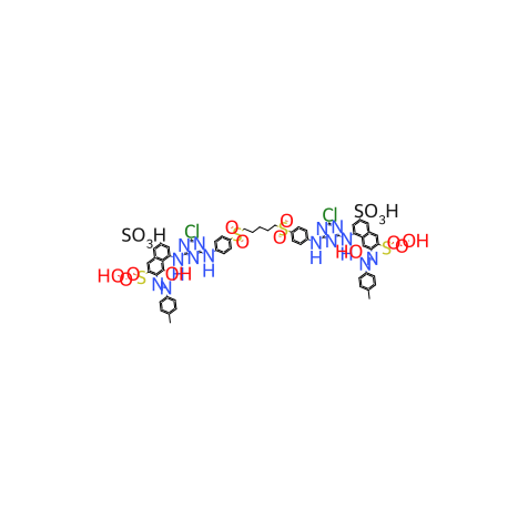 Cc1ccc(N=Nc2c(SOOO)cc3cc(S(=O)(=O)O)cc(Nc4nc(Cl)nc(Nc5ccc(S(=O)(=O)CCCCCS(=O)(=O)c6ccc(Nc7nc(Cl)nc(Nc8cc(S(=O)(=O)O)cc9cc(SOOO)c(N=Nc%10ccc(C)cc%10)c(O)c89)n7)cc6)cc5)n4)c3c2O)cc1